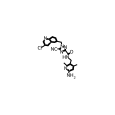 Cc1cc(N)nc(C)c1CNC(=O)c1nc(C#N)n(Cc2ccc3ncc(Cl)cc3c2)n1